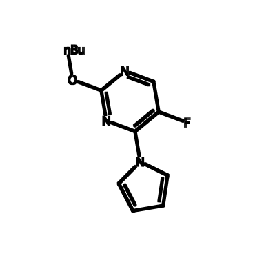 CCCCOc1ncc(F)c(-n2cccc2)n1